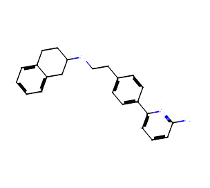 Nc1cccc(-c2ccc(CCNC3CCc4ccccc4C3)cc2)n1